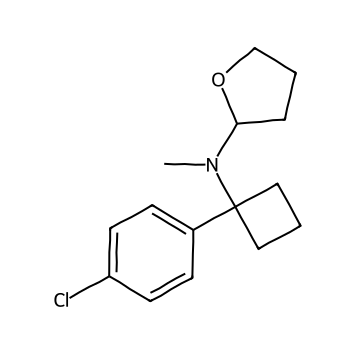 CN(C1CCCO1)C1(c2ccc(Cl)cc2)CCC1